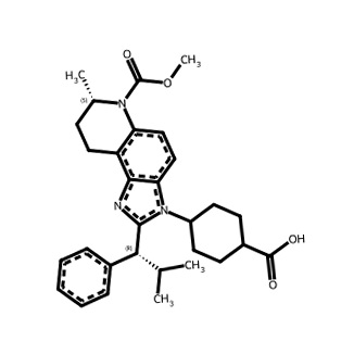 COC(=O)N1c2ccc3c(nc([C@@H](c4ccccc4)C(C)C)n3C3CCC(C(=O)O)CC3)c2CC[C@@H]1C